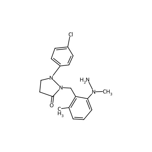 Cc1cccc(N(C)N)c1CN1C(=O)CCN1c1ccc(Cl)cc1